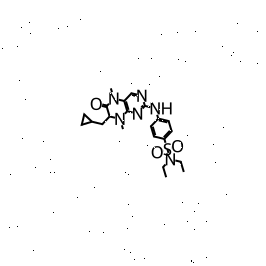 CCN(CC)S(=O)(=O)c1ccc(Nc2ncc3c(n2)N(C)C(CC2CC2)C(=O)N3C)cc1